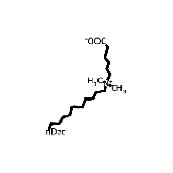 CCCCCCCCCCCCCCCCCCCC[N+](C)(C)CCCCCC(=O)[O-]